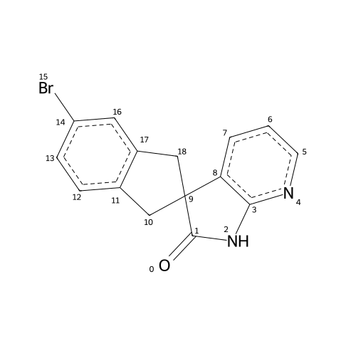 O=C1Nc2ncccc2C12Cc1ccc(Br)cc1C2